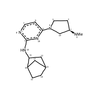 CN[C@@H]1CCN(c2ccnc(NC3CC4CCC3C4)n2)C1